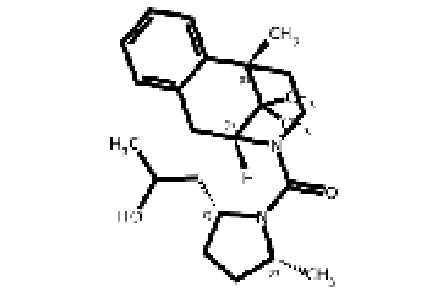 CC(O)C[C@H]1CC[C@@H](C)N1C(=O)N1CC[C@@]2(C)c3ccccc3C[C@@H]1C2(C)C